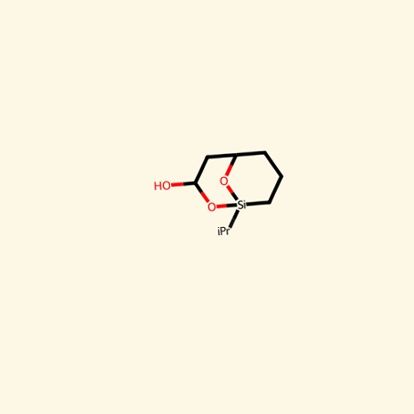 CC(C)[Si]12CCCC(CC(O)O1)O2